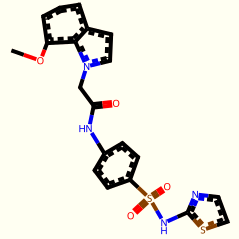 COc1cccc2ccn(CC(=O)Nc3ccc(S(=O)(=O)Nc4nccs4)cc3)c12